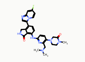 CN(C)Cc1nc(Nc2ccc(-c3cnc4cc(F)ccn34)c3c2C(=O)NC3)ccc1N1CCN(C)C(=O)C1